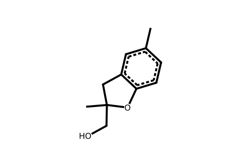 Cc1ccc2c(c1)CC(C)(CO)O2